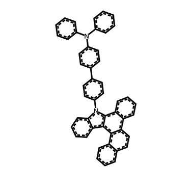 c1ccc(N(c2ccccc2)c2ccc(-c3ccc(-n4c5ccccc5c5c6c7ccccc7ccc6c6ccccc6c54)cc3)cc2)cc1